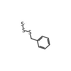 [S]SSCc1ccccc1